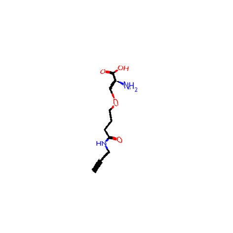 C#CCNC(=O)CCCOC[C@H](N)C(=O)O